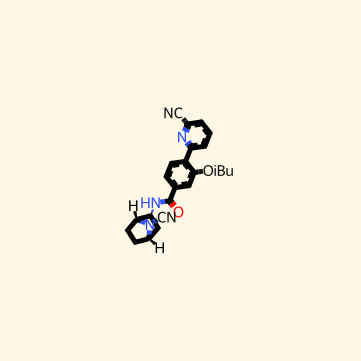 CC(C)COc1cc(C(=O)N[C@@H]2C[C@@H]3CC[C@H]2N3C#N)ccc1-c1cccc(C#N)n1